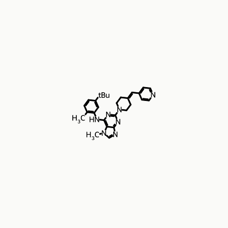 Cc1ccc(C(C)(C)C)cc1Nc1nc(N2CCC(=Cc3ccncc3)CC2)nc2ncn(C)c12